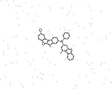 Cc1cc(N(c2ccccc2)c2ccc3c(c2)sc2oc4ccc(Cl)cc4c23)cc2sc3ccccc3c12